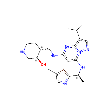 Cc1cnc([C@H](C)Nc2cc(NC[C@H]3CCNC[C@@H]3O)nc3c(C(C)C)cnn23)s1